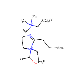 CCCCCCCCCCCCC1=NCC[N+]1(CC(=O)O)C(O)CC.C[N+](C)(C)CC(=O)O